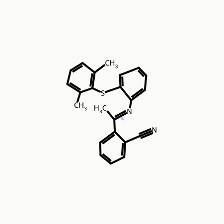 C/C(=N\c1ccccc1Sc1c(C)cccc1C)c1ccccc1C#N